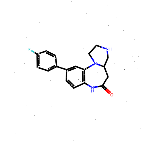 O=C1CC2CNCCN2c2cc(-c3ccc(F)cc3)ccc2N1